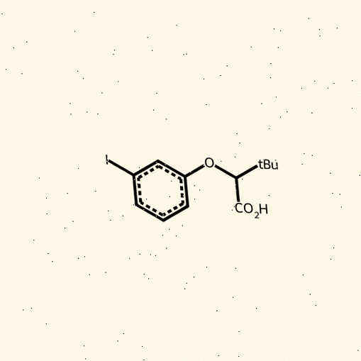 CC(C)(C)C(Oc1cccc(I)c1)C(=O)O